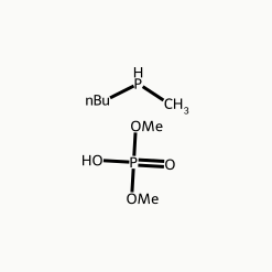 CCCCPC.COP(=O)(O)OC